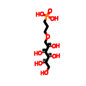 O=P(O)(O)CCCOC[C@H](O)[C@@H](O)[C@H](O)[C@H](O)CO